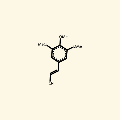 COc1cc(C=CC#N)cc(OC)c1OC